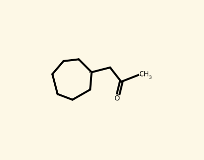 CC(=O)C[C]1CCCCCC1